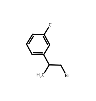 [CH2]C(CBr)c1cccc(Cl)c1